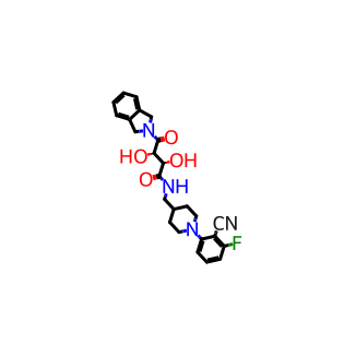 N#Cc1c(F)cccc1N1CCC(CNC(=O)[C@H](O)[C@@H](O)C(=O)N2Cc3ccccc3C2)CC1